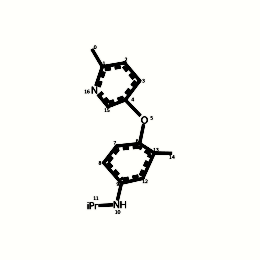 Cc1ccc(Oc2ccc(NC(C)C)cc2C)cn1